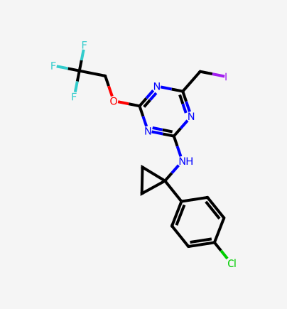 FC(F)(F)COc1nc(CI)nc(NC2(c3ccc(Cl)cc3)CC2)n1